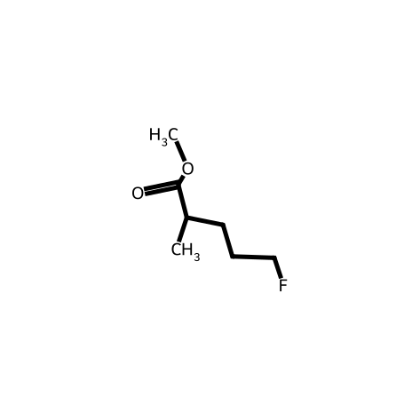 COC(=O)C(C)CCCF